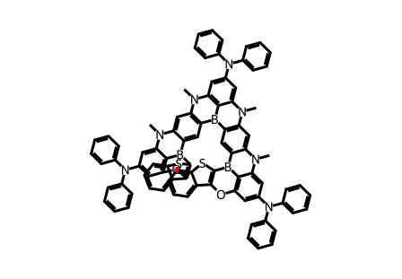 CN1c2cc3c(cc2B2c4sc5ccccc5c4Oc4cc(N(c5ccccc5)c5ccccc5)cc1c42)B1c2cc4c(cc2N(C)c2cc(N(c5ccccc5)c5ccccc5)cc(c21)N3C)N(C)c1cc(N(c2ccccc2)c2ccccc2)cc2c1B4c1sc3ccccc3c1O2